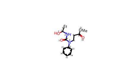 CCC(O)NC(=O)N(CCC(=O)OC)c1ccccc1